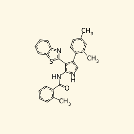 Cc1ccc(-c2c[nH]c(NC(=O)c3ccccc3C)c2-c2nc3ccccc3s2)c(C)c1